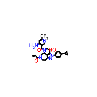 C=CC(=O)N1CCc2nn(-c3ccc(C4CC4)cc3O)c3c2C(C1)N(C(=O)c1cnc(C(F)(F)F)cc1N)CC3